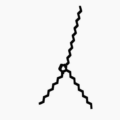 CCCCCCCCCCCCCCCCN1C=CN(CCCCCCCCCC)C1CCCCCCCCCCCC